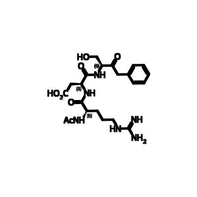 CC(=O)N[C@@H](CCCNC(=N)N)C(=O)N[C@@H](CC(=O)O)C(=O)N[C@@H](CO)C(=O)Cc1ccccc1